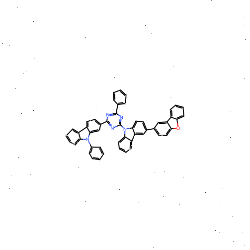 c1ccc(-c2nc(-c3ccc4c5ccccc5n(-c5ccccc5)c4c3)nc(-n3c4ccccc4c4cc(-c5ccc6oc7ccccc7c6c5)ccc43)n2)cc1